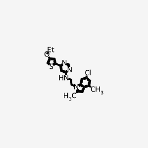 CCOc1csc(-c2cc(NCCn3c(C)cc4c(C)cc(Cl)cc43)ncn2)c1